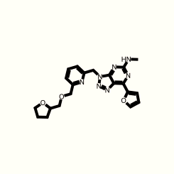 CNc1nc(-c2ccco2)c2nnn(Cc3cccc(COCC4CCCO4)n3)c2n1